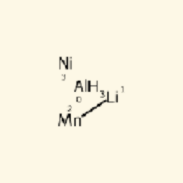 [AlH3].[Li][Mn].[Ni]